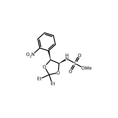 CCC1(CC)O[C@H](NS(=O)(=O)OC)[C@H](c2ccccc2[N+](=O)[O-])O1